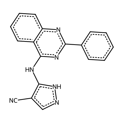 N#Cc1cn[nH]c1Nc1nc(-c2ccccc2)nc2ccccc12